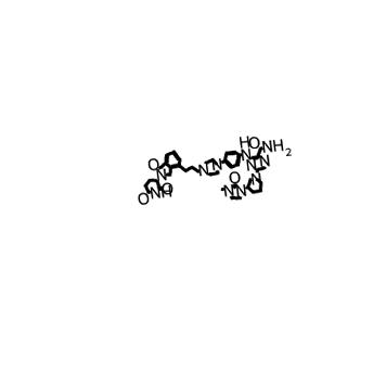 CN1CCN([C@@H]2CCCN(c3cnc(C(N)=O)c(Nc4ccc(N5CCN(CCCc6cccc7c6CN(C6CCC(=O)NC6=O)C7=O)CC5)cc4)n3)C2)C1=O